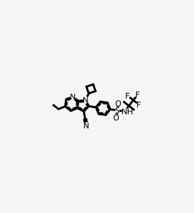 CCc1cnc2c(c1)c(C#N)c(-c1ccc(S(=O)(=O)NC(C)(C)C(F)(F)F)cc1)n2C1CCC1